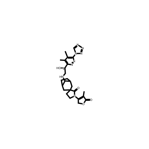 CC1=C(N2CCC3(CC4CCC(C3)C4NC[C@@H](O)c3nnc(-n4cnnn4)c(C)c3C)C2=O)COC1=O